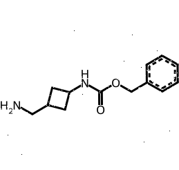 NCC1CC(NC(=O)OCc2ccccc2)C1